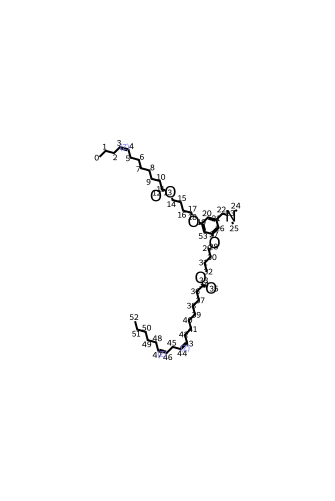 CCC/C=C\CCCCCCC(=O)OCCCCOc1cc(CN(C)C)cc(OCCCCOC(=O)CCCCCCC/C=C\C/C=C\CCCCC)c1